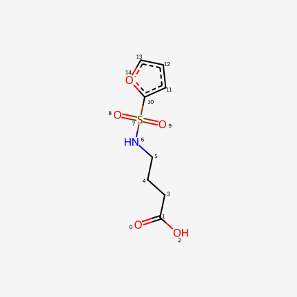 O=C(O)CCCNS(=O)(=O)c1ccco1